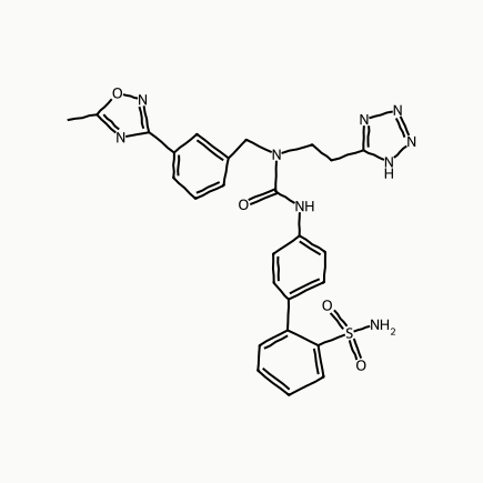 Cc1nc(-c2cccc(CN(CCc3nnn[nH]3)C(=O)Nc3ccc(-c4ccccc4S(N)(=O)=O)cc3)c2)no1